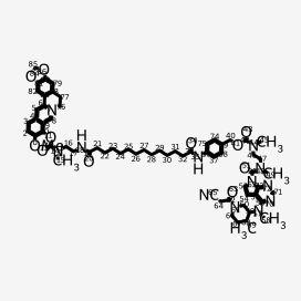 COc1ccc2cc3[n+](cc2c1OC(=O)N(C)CCNC(=O)CCCCCCCCCCCCC(=O)Nc1ccc(COC(=O)N(C)CCN(C)C(=O)n2ccc4c(N(C)C5CN(C(=O)CC#N)CC[C@H]5C)ncnc42)cc1)CCc1cc2c(cc1-3)OCO2